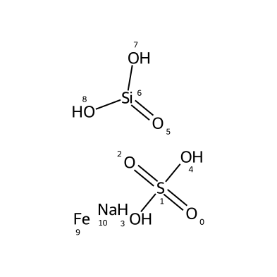 O=S(=O)(O)O.O=[Si](O)O.[Fe].[NaH]